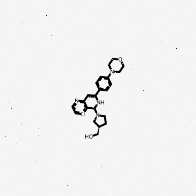 OC[C@@H]1CCN(C2NC(c3ccc(N4CCOCC4)cc3)=Cc3nccnc32)C1